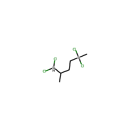 CC(CC[Si](C)(Cl)Cl)[SiH](Cl)Cl